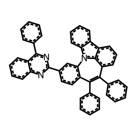 c1ccc(C2=C(c3ccccc3)c3cccc4c5ccccc5n(c34)-c3cc(-c4nc(-c5ccccc5)c5ccccc5n4)ccc32)cc1